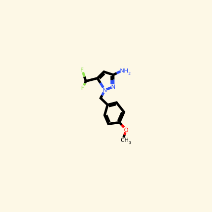 COc1ccc(Cn2nc(N)cc2C(F)F)cc1